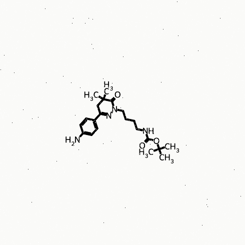 CC(C)(C)OC(=O)NCCCCN1N=C(c2ccc(N)cc2)CC(C)(C)C1=O